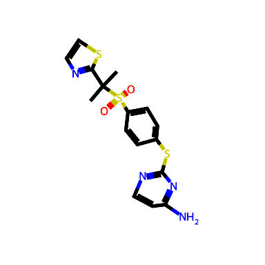 CC(C)(c1nccs1)S(=O)(=O)c1ccc(Sc2nccc(N)n2)cc1